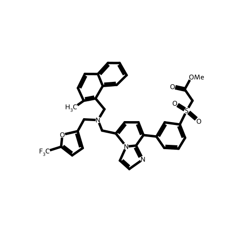 COC(=O)CS(=O)(=O)c1cccc(-c2ccc(CN(Cc3ccc(C(F)(F)F)o3)Cc3c(C)ccc4ccccc34)n3ccnc23)c1